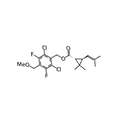 COCc1c(F)c(Cl)c(COC(=O)[C@@H]2[C@@H](C=C(C)C)C2(C)C)c(Cl)c1F